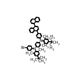 Cc1cc(C(C)(C)C)cc(C)c1N(c1ccc(Br)cc1)c1ccc(N(c2ccc(-c3ccc(-c4cccc5ccccc45)c4ccccc34)cc2)c2c(C)cc(C(C)(C)C)cc2C)cc1